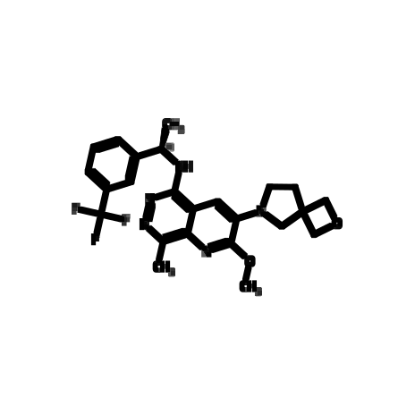 COc1nc2c(C)nnc(N[C@H](C)c3cccc(C(F)(F)F)c3)c2cc1N1CCC2(COC2)C1